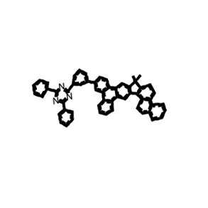 CC1(C)c2cc3c4ccc(-c5cccc(-c6nc(-c7ccccc7)nc(-c7ccccc7)n6)c5)cc4c4ccccc4c3cc2-c2c1ccc1c2ccc2ccccc21